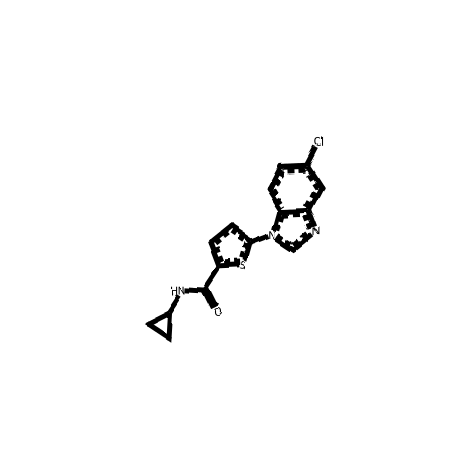 O=C(NC1CC1)c1ccc(-n2cnc3cc(Cl)ccc32)s1